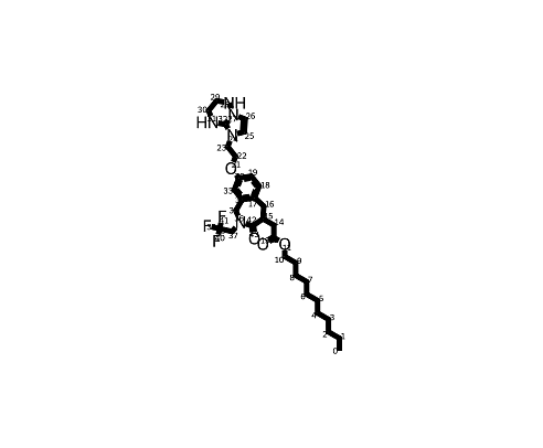 CCCCCCCCCCCOC(=O)CC1Cc2ccc(OCCN3C=CN4NCCNC34)cc2CN(CC(F)(F)F)C1=O